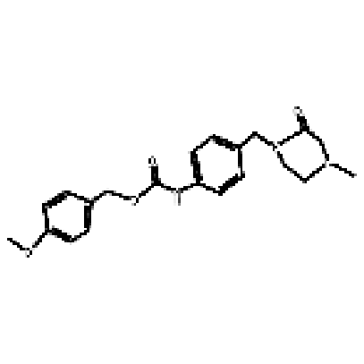 COc1ccc(COC(=O)Nc2ccc(CN3CCN(C)CC3=O)cc2)cc1